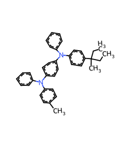 CCC(C)(CC)c1ccc(N(c2ccccc2)c2ccc(N(c3ccccc3)c3ccc(C)cc3)cc2)cc1